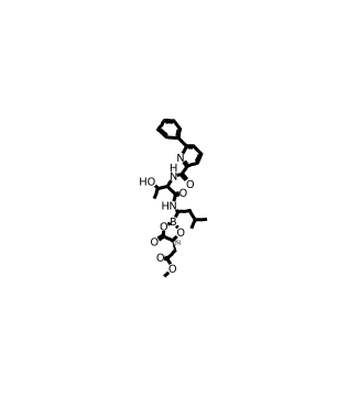 COC(=O)C[C@@H]1OB(C(CC(C)C)NC(=O)C(NC(=O)c2cccc(-c3ccccc3)n2)C(C)O)OC1=O